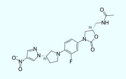 CC(=O)NC[C@H]1CN(c2ccc(N3CC[C@H](n4cc([N+](=O)[O-])cn4)C3)c(F)c2)C(=O)O1